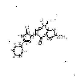 Cc1nc(C(F)(F)F)c(C(=O)Nc2sc(-c3cccnc3)nc2Cl)s1